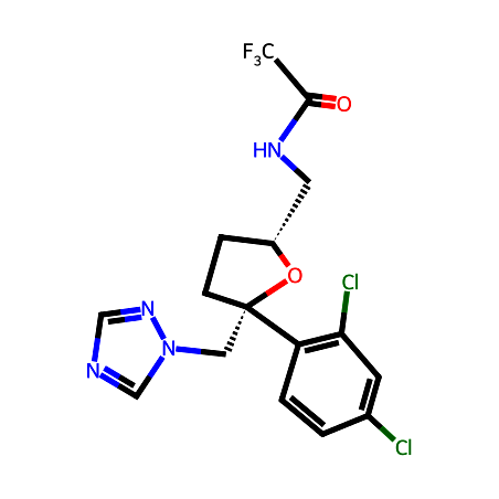 O=C(NC[C@H]1CC[C@](Cn2cncn2)(c2ccc(Cl)cc2Cl)O1)C(F)(F)F